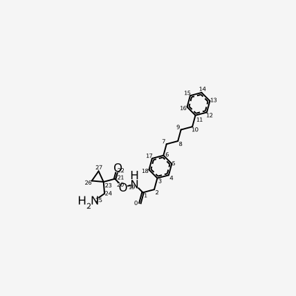 C=C(Cc1ccc(CCCCc2ccccc2)cc1)NOC(=O)C1(CN)CC1